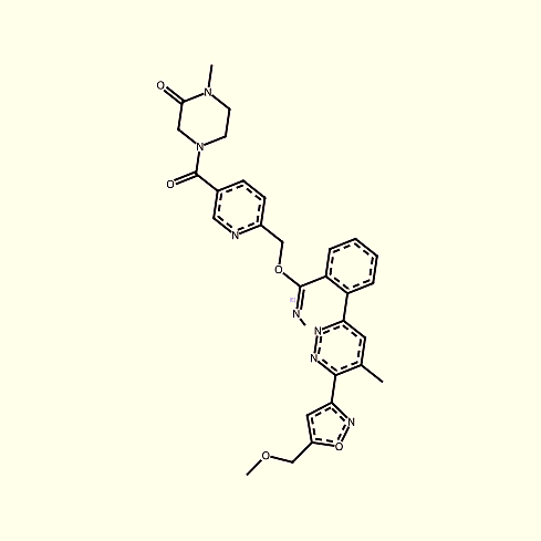 C/N=C(/OCc1ccc(C(=O)N2CCN(C)C(=O)C2)cn1)c1ccccc1-c1cc(C)c(-c2cc(COC)on2)nn1